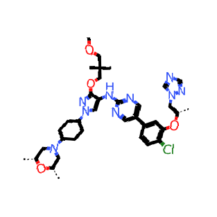 COCC(C)(C)COc1nn(C2CCC(N3C[C@@H](C)O[C@@H](C)C3)CC2)cc1Nc1ncc(-c2ccc(Cl)c(O[C@@H](C)Cn3cncn3)c2)cn1